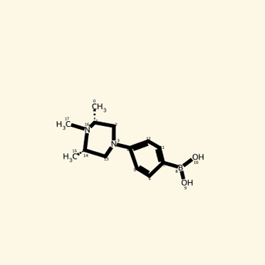 C[C@@H]1CN(c2ccc(B(O)O)cc2)C[C@H](C)N1C